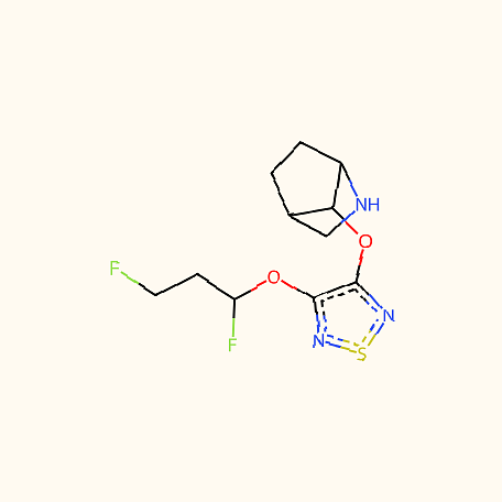 FCCC(F)Oc1nsnc1OC1C2CCC1NC2